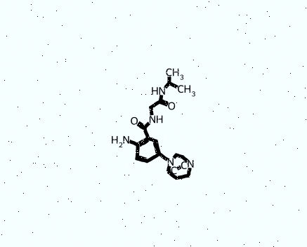 CC(C)NC(=O)CNC(=O)c1cc(N2CCN3CCC2CC3)ccc1N